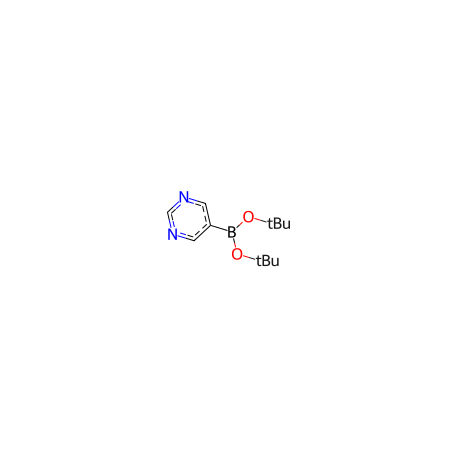 CC(C)(C)OB(OC(C)(C)C)c1cncnc1